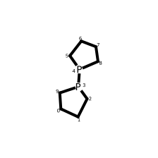 C1CCP(P2CCCC2)C1